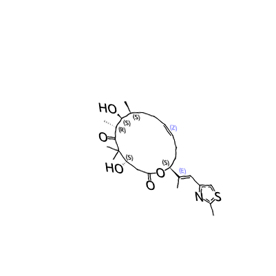 C/C(=C\c1csc(C)n1)[C@@H]1CC/C=C\CC[C@H](C)[C@H](O)[C@@H](C)C(=O)C(C)(C)[C@@H](O)CC(=O)O1